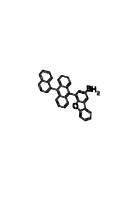 Bc1cc(-c2c3c(c(-c4cccc5ccccc45)c4ccccc24)=CCCC=3)c2oc3ccccc3c2c1